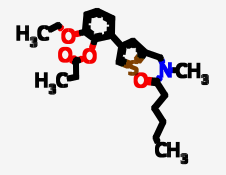 CCCCCC(=O)N(C)Cc1cc(-c2cccc(OCC)c2OC(=O)CC)cs1